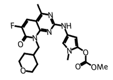 COC(=O)Oc1cc(Nc2nc(C)c3cc(F)c(=O)n(CC4CCOCC4)c3n2)cn1C